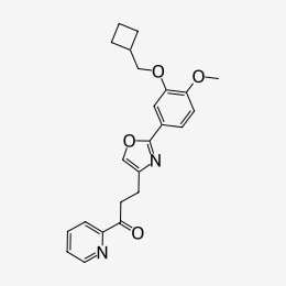 COc1ccc(-c2nc(CCC(=O)c3ccccn3)co2)cc1OCC1CCC1